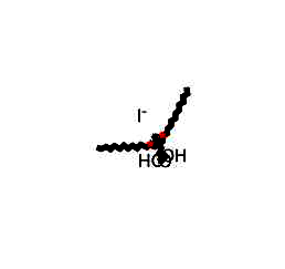 CCCCCCCCCCCCCCC(CCCCCCCCCCCCCC)(CCP(=O)(O)O)[P+](C)(C)C.[I-]